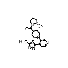 Cc1nnc(-c2ccncc2N2CCC(C(=O)N3CCC[C@@H]3C#N)CC2)s1